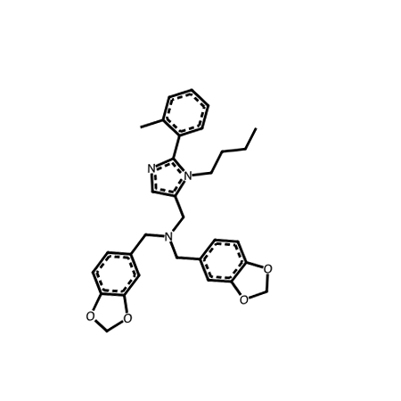 CCCCn1c(CN(Cc2ccc3c(c2)OCO3)Cc2ccc3c(c2)OCO3)cnc1-c1ccccc1C